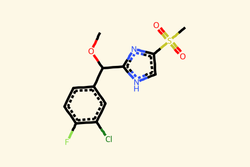 COC(c1ccc(F)c(Cl)c1)c1nc(S(C)(=O)=O)c[nH]1